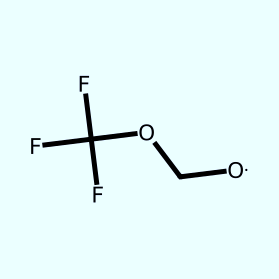 [O]COC(F)(F)F